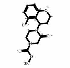 CC(C)(C)OC(=O)N1CCN(C2CCOc3cccc(Br)c32)C(=O)C1